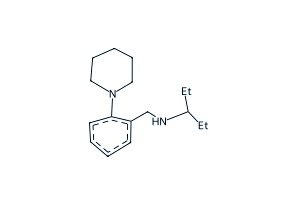 CCC(CC)NCc1ccccc1N1CCCCC1